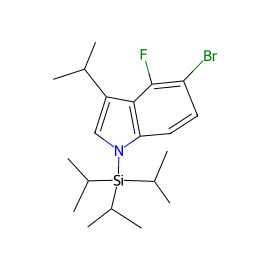 CC(C)c1cn([Si](C(C)C)(C(C)C)C(C)C)c2ccc(Br)c(F)c12